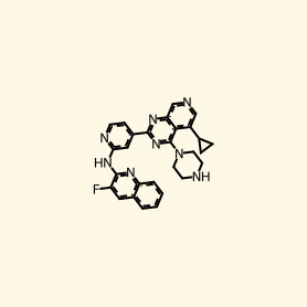 Fc1cc2ccccc2nc1Nc1cc(-c2nc(N3CCNCC3)c3c(C4CC4)cncc3n2)ccn1